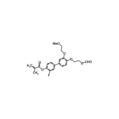 C=C(C)C(=O)Oc1ccc(-c2ccc(OCCOC=O)c(OCCOC)c2)cc1F